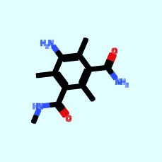 CNC(=O)c1c(C)c(N)c(C)c(C(N)=O)c1C